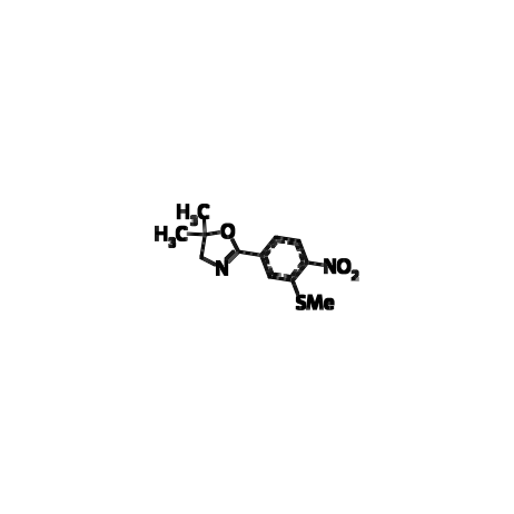 CSc1cc(C2=NCC(C)(C)O2)ccc1[N+](=O)[O-]